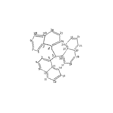 c1ccc2c([C](c3cccc4ccccc34)c3cccc4ccccc34)cccc2c1